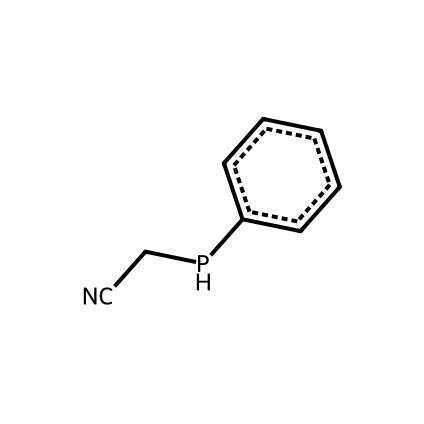 N#CCPc1ccccc1